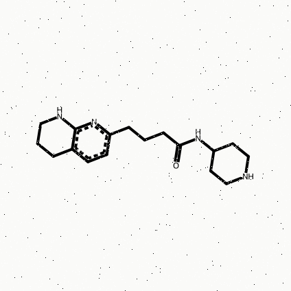 O=C(CCCc1ccc2c(n1)NCCC2)NC1CCNCC1